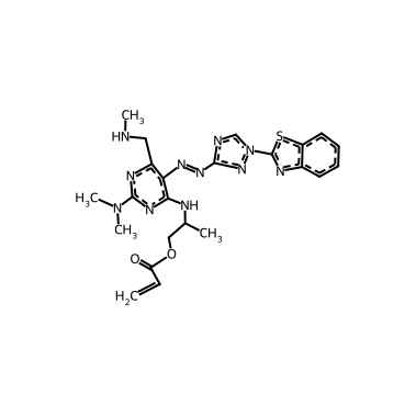 C=CC(=O)OCC(C)Nc1nc(N(C)C)nc(CNC)c1N=Nc1ncn(-c2nc3ccccc3s2)n1